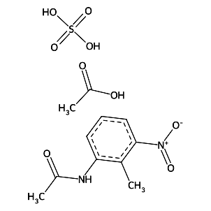 CC(=O)Nc1cccc([N+](=O)[O-])c1C.CC(=O)O.O=S(=O)(O)O